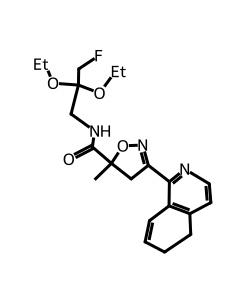 CCOC(CF)(CNC(=O)C1(C)CC(c2nccc3c2C=CCC3)=NO1)OCC